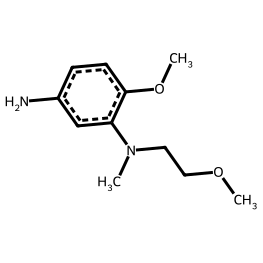 COCCN(C)c1cc(N)ccc1OC